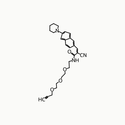 C#CCOCCOCCOCCNC(=O)/C(C#N)=C\c1ccc2cc(N3CCCCC3)ccc2c1